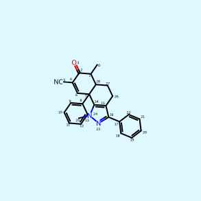 CC1C(=O)C(C#N)=CC2(c3ccccc3)c3c(c(-c4ccccc4)nn3C)CCC12